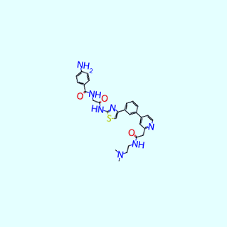 CN(C)CCNC(=O)Cc1cc(-c2cccc(-c3csc(NC(=O)CNC(=O)c4ccc(N)cc4)n3)c2)ccn1